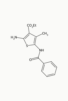 CCOC(=O)c1c(N)sc(NC(=O)c2ccccc2)c1C